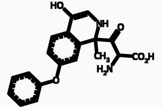 CC1(C(=O)C(N)C(=O)O)NC=C(O)c2ccc(Oc3ccccc3)cc21